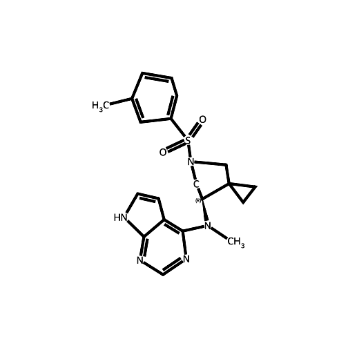 Cc1cccc(S(=O)(=O)N2C[C@H](N(C)c3ncnc4[nH]ccc34)C3(CC3)C2)c1